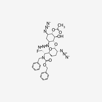 CC(=O)O[C@@H]1[C@@H](O)[C@H](O[C@H]2O[C@H]([C@@H](CF)N(Cc3ccccc3)C(=O)OCc3ccccc3)CC[C@H]2N=[N+]=[N-])[C@@H](N=[N+]=[N-])C[C@H]1N=[N+]=[N-]